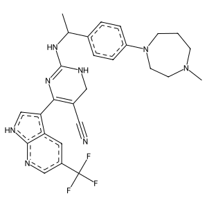 CC(NC1=NC(c2c[nH]c3ncc(C(F)(F)F)cc23)=C(C#N)CN1)c1ccc(N2CCCN(C)CC2)cc1